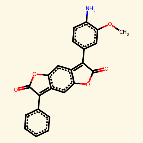 COc1cc(C2=c3cc4c(cc3OC2=O)=C(c2ccccc2)C(=O)O4)ccc1N